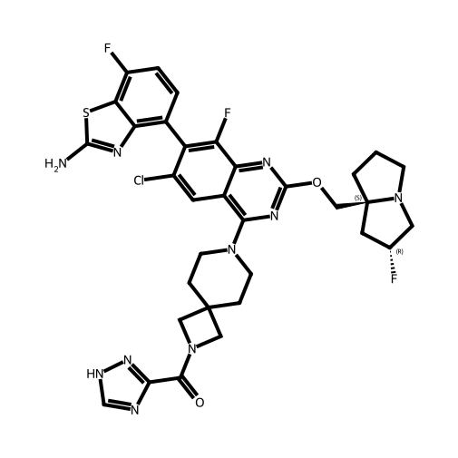 Nc1nc2c(-c3c(Cl)cc4c(N5CCC6(CC5)CN(C(=O)c5nc[nH]n5)C6)nc(OC[C@@]56CCCN5C[C@H](F)C6)nc4c3F)ccc(F)c2s1